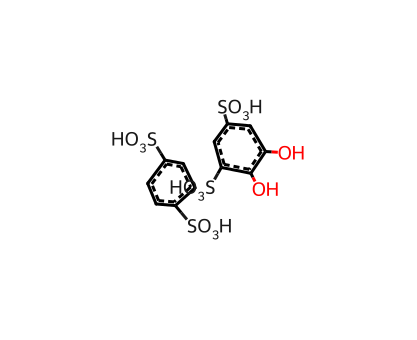 O=S(=O)(O)c1cc(O)c(O)c(S(=O)(=O)O)c1.O=S(=O)(O)c1ccc(S(=O)(=O)O)cc1